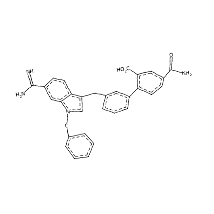 N=C(N)c1ccc2c(Cc3cccc(-c4ccc(C(N)=O)cc4C(=O)O)c3)cn(Cc3ccccc3)c2c1